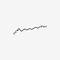 CCCCCOCCCCCCN=C=O